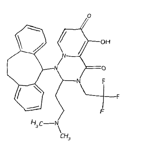 CN(C)CCC1N(CC(F)(F)F)C(=O)c2c(O)c(=O)ccn2N1C1c2ccccc2CCc2ccccc21